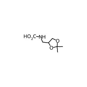 CC1(C)OCC(CNC(=O)O)O1